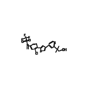 CC(C)(CO)c1cc(-c2csc(-c3ccc(NS(=O)(=O)C(F)(F)F)cc3Cl)c2)ccn1